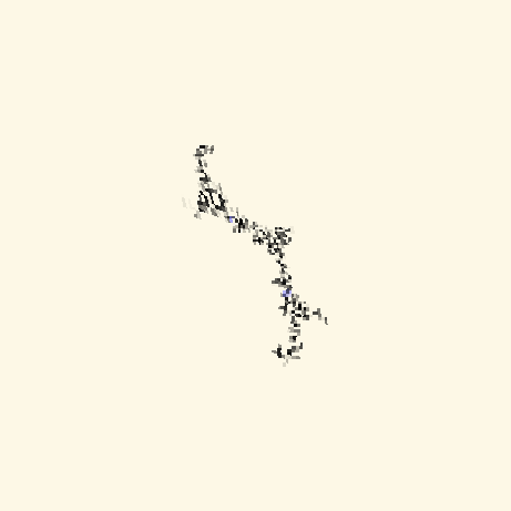 CCCCCOc1ccc(/C=C/C(=O)OCCCCCCC(CCCCCCOC(=O)/C=C/c2ccc(OCCCCC)c(OC)c2)(C(=O)O)C(=O)O)cc1OC